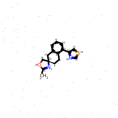 CC1=N[C@]2(CCc3c(cccc3-c3cscn3)C2)CO1